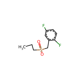 CCCS(=O)(=O)Cc1cc(F)ccc1F